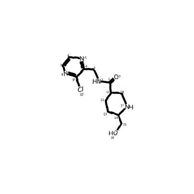 O=C(NCc1nccnc1Cl)C1CCC(CO)NC1